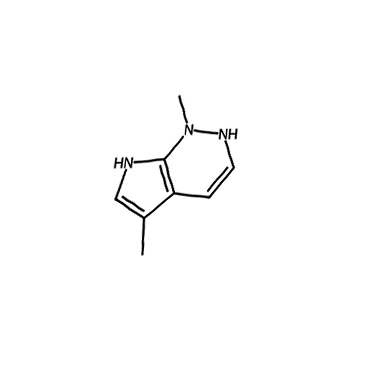 Cc1c[nH]c2c1C=CNN2C